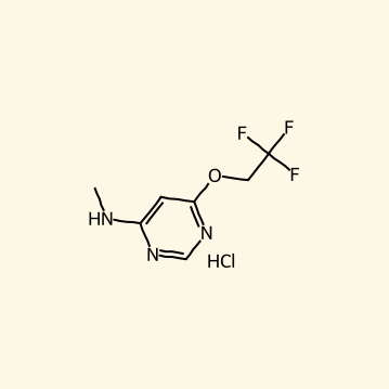 CNc1cc(OCC(F)(F)F)ncn1.Cl